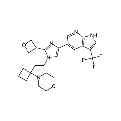 FC(F)(F)c1c[nH]c2ncc(-c3cn(CCC4(N5CCOCC5)CCC4)c(C4COC4)n3)cc12